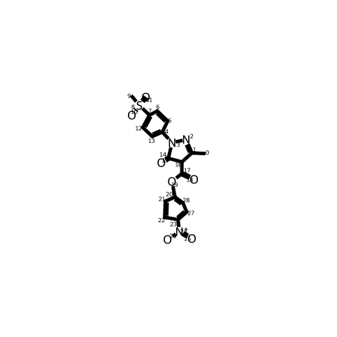 CC1=NN(c2ccc(S(C)(=O)=O)cc2)C(=O)C1C(=O)Oc1ccc([N+](=O)[O-])cc1